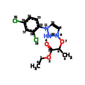 CCOC(=O)C(C)ON1C=CN(c2ccc(Cl)cc2Cl)N1